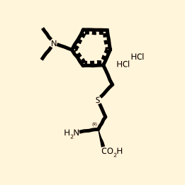 CN(C)c1cccc(CSC[C@H](N)C(=O)O)c1.Cl.Cl